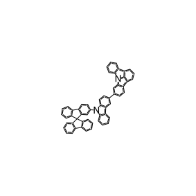 c1ccc2c(c1)-c1ccccc1C21c2ccccc2-c2ccc(-n3c4ccccc4c4cc(-c5ccc6c7cccc8c9ccccc9n(c6c5)c87)ccc43)cc21